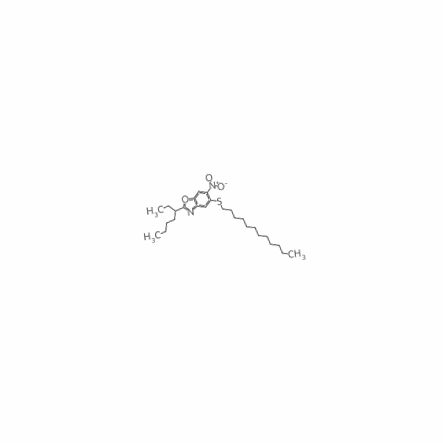 CCCCCCCCCCCCSc1cc2nc(C(CC)CCCC)oc2cc1[N+](=O)[O-]